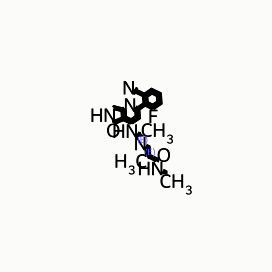 CCNC(=O)/C(C)=C/N=C(\C)Nc1cc(-c2c(F)cccc2C#N)nc2c1C(=O)NC2